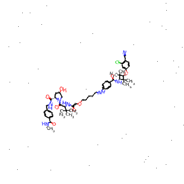 CNC(=O)c1ccc(CNC(=O)[C@@H]2C[C@@H](O)CN2C(=O)[C@@H](NC(=O)COCCCCCNc2ccc(C(=O)N[C@H]3C(C)(C)[C@H](Oc4ccc(C#N)c(Cl)c4)C3(C)C)cc2)C(C)(C)C)cc1